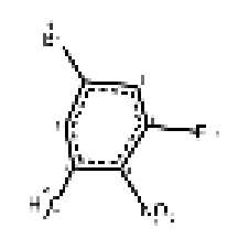 Cc1cc(Br)cc(F)c1[N+](=O)[O-]